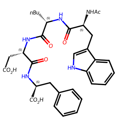 CCCC[C@H](NC(=O)[C@H](Cc1c[nH]c2ccccc12)NC(C)=O)C(=O)N[C@@H](CC(=O)O)C(=O)N[C@@H](Cc1ccccc1)C(=O)O